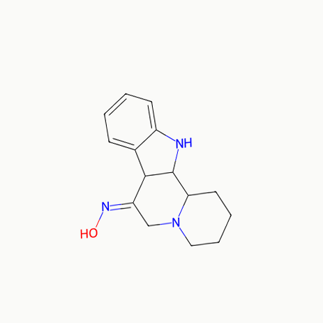 ON=C1CN2CCCCC2C2Nc3ccccc3C12